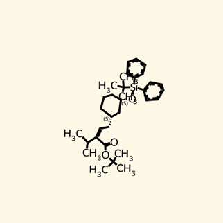 CC(C)C(=CC[C@@H]1CCC[C@H](O[Si](c2ccccc2)(c2ccccc2)C(C)(C)C)C1)C(=O)OC(C)(C)C